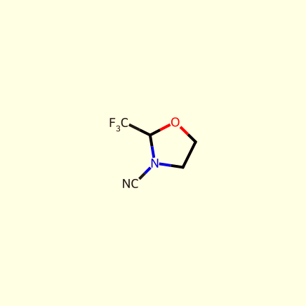 N#CN1CCOC1C(F)(F)F